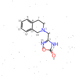 O=c1[nH]c(CN2CCc3ccccc3C2)no1